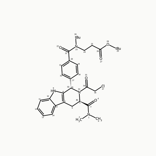 CN(C)C(=O)[C@H]1Cc2c([nH]c3ccccc23)[C@H](c2ccc(C(=O)N(CCC(=O)OC(C)(C)C)C(C)(C)C)cc2)N1C(=O)CCl